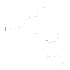 N#Cc1cc(-c2ccc(F)cc2F)cc(C(F)(F)F)c1